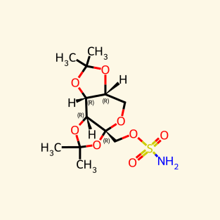 CC1(C)O[C@H]2[C@H]3OC(C)(C)O[C@@]3(COS(N)(=O)=O)OC[C@H]2O1